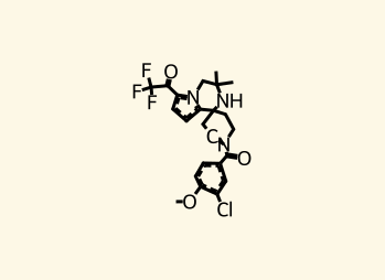 COc1ccc(C(=O)N2CCC3(CC2)NC(C)(C)Cn2c(C(=O)C(F)(F)F)ccc23)cc1Cl